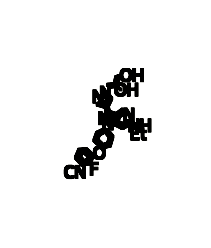 CCNc1cc2c(cn1)c(-c1cnn(C[C@@H](O)CO)c1)nn2C1CCC(Oc2cccc(C#N)c2F)CC1